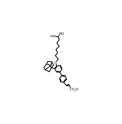 O=NC(O)CCCCCCCOc1ccc(-c2ccc(/C=C/C(=O)O)cc2)cc1C12CC3CC(CC(C3)C1)C2